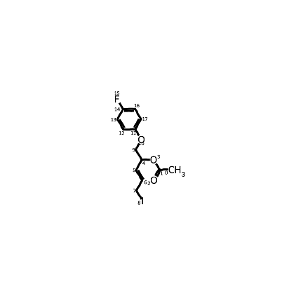 CC(=O)OC(C=CCI)COc1ccc(F)cc1